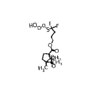 CC12CCC(C(=O)OCCCC(F)(F)SOOO)(OC1=O)C2(C)C